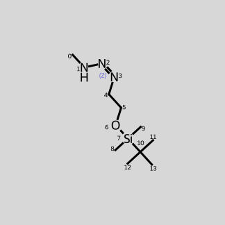 CN/N=N\CCO[Si](C)(C)C(C)(C)C